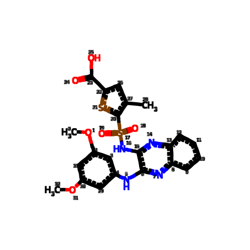 COc1cc(Nc2nc3ccccc3nc2NS(=O)(=O)c2sc(C(=O)O)cc2C)cc(OC)c1